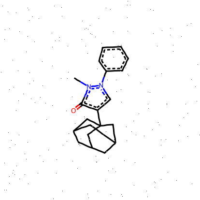 Cn1c(=O)c(C23CC4CC(CC(C4)C2)C3)cn1-c1ccccc1